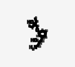 CCC(O)(CC)COc1cccc(C[C@@H](O)CN)c1